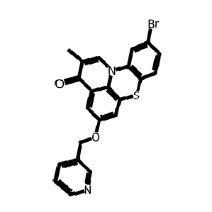 Cc1cn2c3c(cc(OCc4cccnc4)cc3c1=O)Sc1ccc(Br)cc1-2